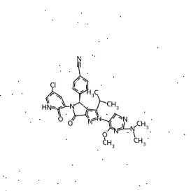 COc1nc(N(C)C)ncc1-n1nc2c(c1C(C)C)[C@H](c1ccc(C#N)cc1)N(c1cc(Cl)c[nH]c1=O)C2=O